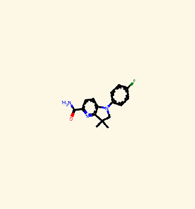 CC1(C)CN(c2ccc(F)cc2)c2ccc(C(N)=O)nc21